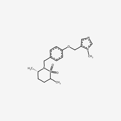 CC1CC[C@H](C)N(Cc2ccc(OCc3cncn3C)cc2)S1(=O)=O